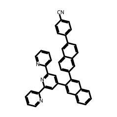 N#Cc1ccc(-c2ccc3cc(-c4cc5ccccc5cc4-c4cc(-c5ccccn5)nc(-c5ccccn5)c4)ccc3c2)cc1